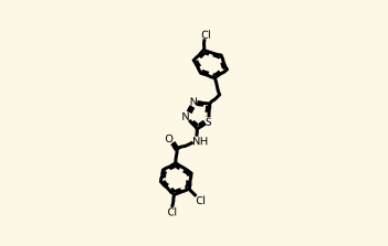 O=C(Nc1nnc(Cc2ccc(Cl)cc2)s1)c1ccc(Cl)c(Cl)c1